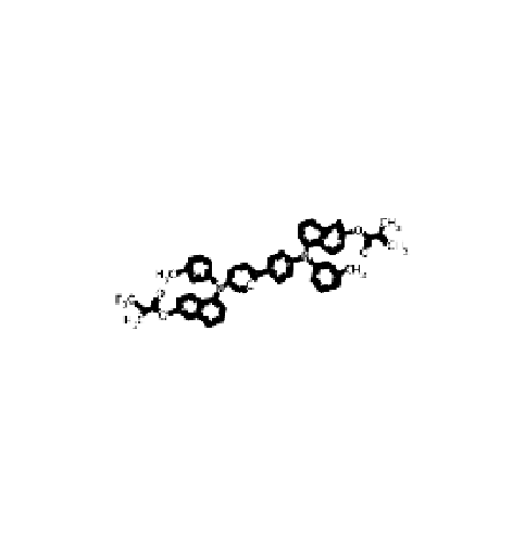 C=C(C)C(=O)Oc1ccc2c(N(c3ccc(-c4ccc(N(c5cccc(C)c5)c5cccc6cc(OC(=O)C(=C)C(F)(F)F)ccc56)cc4)cc3)c3cccc(C)c3)cccc2c1